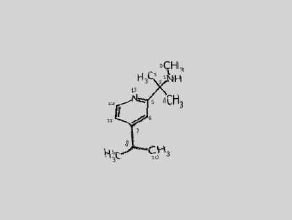 CNC(C)(C)c1cc(C(C)C)ccn1